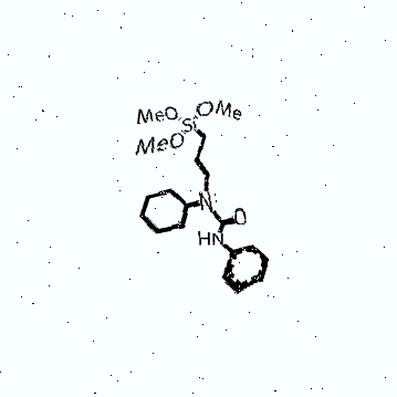 CO[Si](CCCN(C(=O)Nc1ccccc1)C1CCCCC1)(OC)OC